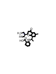 Cc1cc(C(C)Nc2ccccc2C(=O)O)c2oc(/C(C=N)=C/N)cc(=O)c2c1